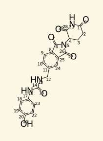 O=C1CCC(N2C(=O)c3ccc(CNC(=O)Nc4ccc(O)cc4)cc3C2=O)C(=O)N1